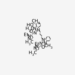 CCn1nc(C)cc1C(=O)/N=c1\n(C)c2ccccc2n1C/C=C/Cn1/c(=N/C(=O)c2cc(C)nn2CC)n(C)c2c(C(C)O)cccc21